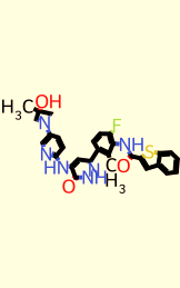 Cc1c(-c2cc(Nc3ccc(N4CC(C)(O)C4)cn3)c(=O)[nH]n2)ccc(F)c1NC(=O)c1cc2ccccc2s1